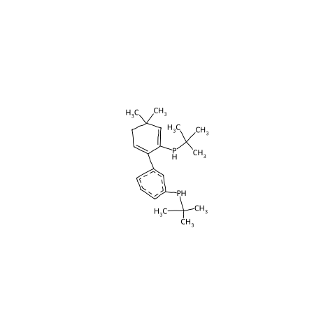 CC1(C)C=C(PC(C)(C)C)C(c2cccc(PC(C)(C)C)c2)=CC1